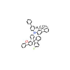 CC1(C)c2ccccc2-c2ccc(N(c3ccc(-c4ccccc4)cc3)c3ccc4c(c3)C3(c5ccccc5-c5ccc(F)cc53)c3ccc5c(oc6ccccc65)c3-4)cc21